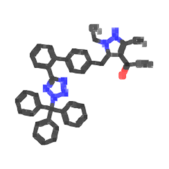 COC(=O)C1=C(C)NN(CC(F)(F)F)C1Cc1ccc(-c2ccccc2-c2nnn(C(c3ccccc3)(c3ccccc3)c3ccccc3)n2)cc1